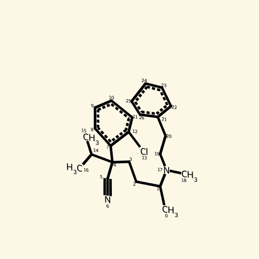 CC(CCC(C#N)(c1ccccc1Cl)C(C)C)N(C)CCc1ccccc1